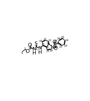 CCOC(=O)NC(=S)Nc1cccc2c1ccn2S(=O)(=O)c1ccccc1